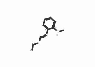 CCOC=Nc1ccccc1OC